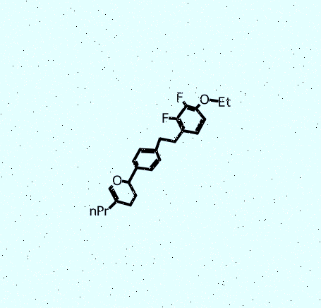 CCCC1=COC(c2ccc(CCc3ccc(OCC)c(F)c3F)cc2)CC1